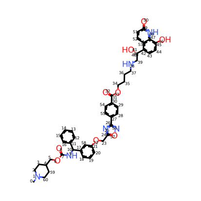 CN1CCC(COC(=O)NC(c2ccccc2)c2cccc(OCc3nc(-c4ccc(C(=O)OCCCCNC[C@H](O)c5ccc(O)c6[nH]c(=O)ccc56)cc4)no3)c2)CC1